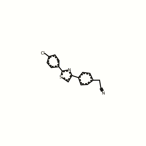 N#CCc1ccc(-c2csc(-c3ccc(Cl)cc3)n2)cc1